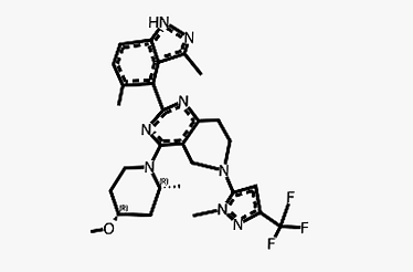 CO[C@@H]1CCN(c2nc(-c3c(C)ccc4[nH]nc(C)c34)nc3c2CN(c2cc(C(F)(F)F)nn2C)CC3)[C@H](C)C1